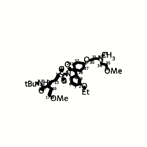 CCOC1=CC2C(C=C1)N(S(=O)(=O)/C=C/C=C(\C=C\OC)C(=O)NC(C)(C)C)C(=O)C21CCC(OCCN(C)CCOC)CC1